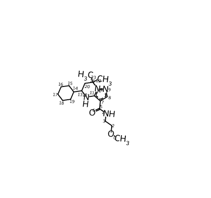 COCCNC(=O)c1cnn2c1NC(C1CCCCC1)CC2(C)C